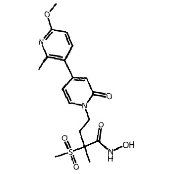 COc1ccc(-c2ccn(CCC(C)(C(=O)NO)S(C)(=O)=O)c(=O)c2)c(C)n1